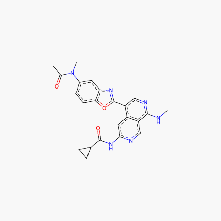 CNc1ncc(-c2nc3cc(N(C)C(C)=O)ccc3o2)c2cc(NC(=O)C3CC3)ncc12